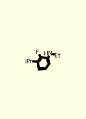 CCNc1cccc(C(C)C)c1F